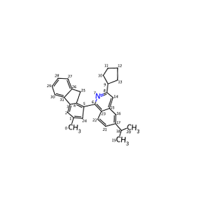 Cc1cc2c(c(-c3nc(C4CCCC4)cc4cc(C(C)C)ccc34)c1)Cc1ccccc1-2